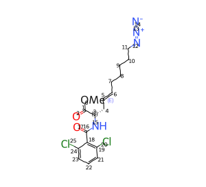 COC(=O)[C@H](C/C=C/CCCCCN=[N+]=[N-])NC(=O)c1c(Cl)cccc1Cl